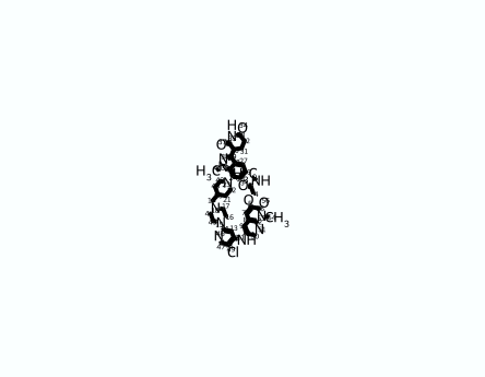 CNC(=O)COc1cc2cc(Nc3cc(N4CCN(CC5CCN(c6cccc7c(C8CCC(=O)NC8=O)nn(C)c67)CC5)CC4)ncc3Cl)cnc2n(C)c1=O